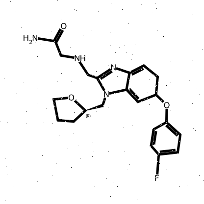 NC(=O)CNCc1nc2c(n1C[C@H]1CCCO1)=CC(Oc1ccc(F)cc1)CC=2